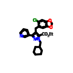 CCOC(=O)c1c(Cc2cc3c(cc2Cl)OCO3)c(-c2cccnc2)nn1CC1CCCCC1